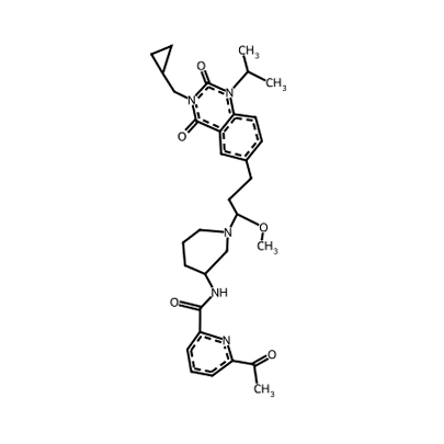 COC(CCc1ccc2c(c1)c(=O)n(CC1CC1)c(=O)n2C(C)C)N1CCCC(NC(=O)c2cccc(C(C)=O)n2)C1